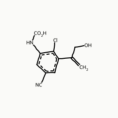 C=C(CO)c1cc(C#N)cc(NC(=O)O)c1Cl